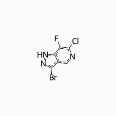 Fc1c(Cl)ncc2c(Br)n[nH]c12